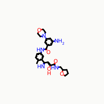 Cc1ccc(NC(=O)c2cc(N)cc(N3CCOCC3)c2)cc1C(=N)/C=C(\O)C(=O)NCC1CCCO1